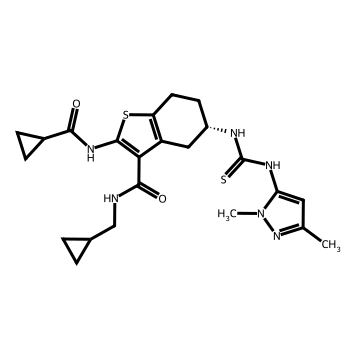 Cc1cc(NC(=S)N[C@H]2CCc3sc(NC(=O)C4CC4)c(C(=O)NCC4CC4)c3C2)n(C)n1